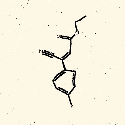 CCOC(=O)C=C(C#N)c1ccc(F)cc1